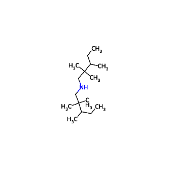 CCC(C)C(C)(C)CNCC(C)(C)C(C)CC